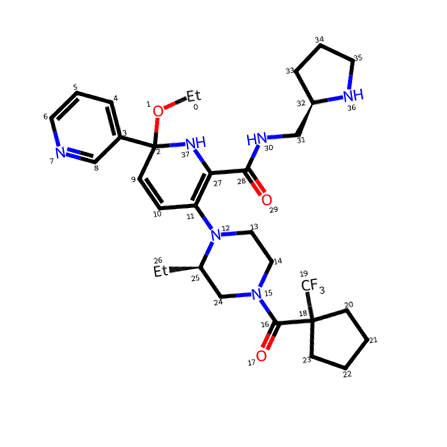 CCOC1(c2cccnc2)C=CC(N2CCN(C(=O)C3(C(F)(F)F)CCCC3)C[C@H]2CC)=C(C(=O)NC[C@H]2CCCN2)N1